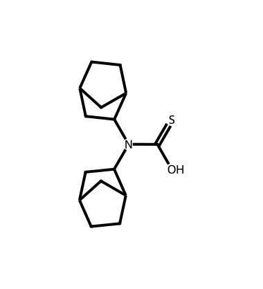 OC(=S)N(C1CC2CCC1C2)C1CC2CCC1C2